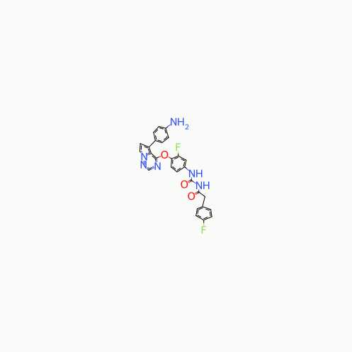 Nc1ccc(-c2ccn3ncnc(Oc4ccc(NC(=O)NC(=O)Cc5ccc(F)cc5)cc4F)c23)cc1